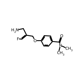 CN(C)C(=O)c1ccc(OCC(=CF)CN)cc1